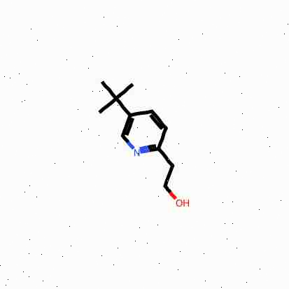 CC(C)(C)c1ccc(CCO)nc1